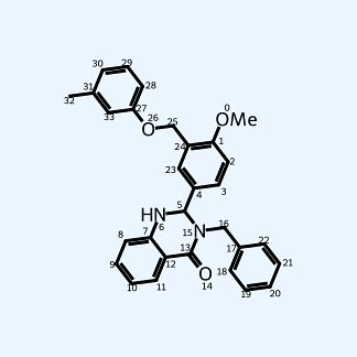 COc1ccc(C2Nc3ccccc3C(=O)N2Cc2ccccc2)cc1COc1cccc(C)c1